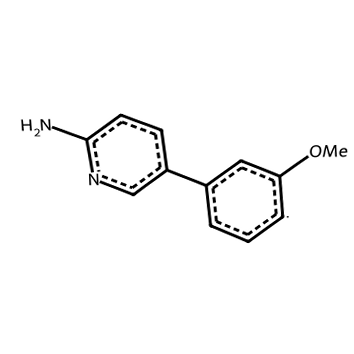 COc1[c]ccc(-c2ccc(N)nc2)c1